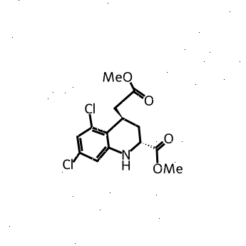 COC(=O)C[C@H]1C[C@H](C(=O)OC)Nc2cc(Cl)cc(Cl)c21